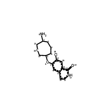 NC1CCCC(Oc2cc3cc[nH]c(=O)c3cc2Cl)CCC1